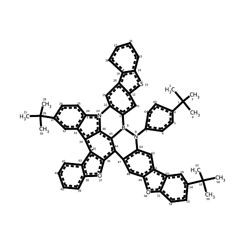 CC(C)(C)c1ccc(N2B3c4cc5sc6ccccc6c5cc4-n4c5ccc(C(C)(C)C)cc5c5c6c(oc7ccccc76)c(c3c54)-c3cc4oc5ccc(C(C)(C)C)cc5c4cc32)cc1